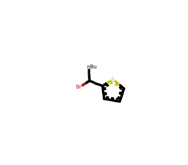 CCCCC(Br)c1cccs1